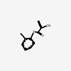 C=C(C#N)C(=O)Oc1ccccc1C